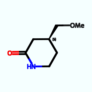 COC[C@H]1CCNC(=O)C1